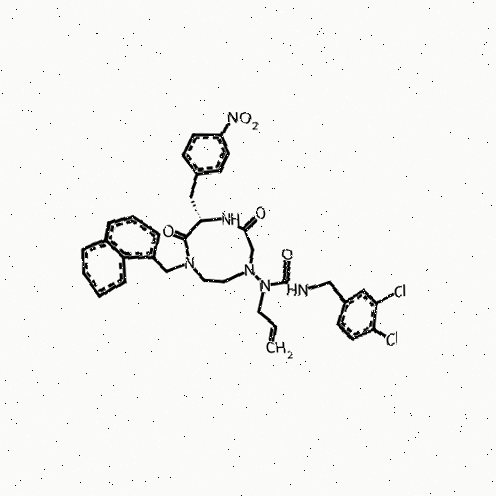 C=CCN(C(=O)NCc1ccc(Cl)c(Cl)c1)N1CCN(Cc2cccc3ccccc23)C(=O)[C@H](Cc2ccc([N+](=O)[O-])cc2)NC(=O)C1